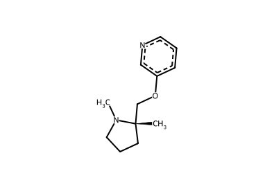 CN1CCC[C@@]1(C)COc1cccnc1